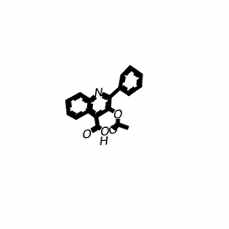 CC(=O)Oc1c(-c2ccccc2)nc2ccccc2c1C(=O)O